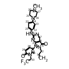 C=CCn1c(=O)c2cnc(Nc3ccc(N4CCN(C)CC4)cc3)nc2n1-c1ccc(=O)n(CC(F)(F)F)n1